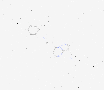 Cc1nn2c(C3CCCN(Cc4ccc(Cl)cc4)C3)ccnc2c1CNCC(F)(F)F